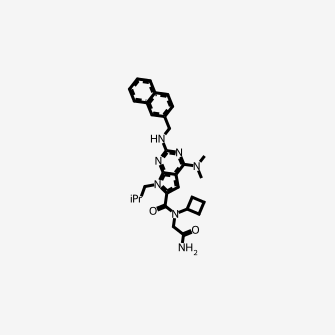 CC(C)Cn1c(C(=O)N(CC(N)=O)C2CCC2)cc2c(N(C)C)nc(NCc3ccc4ccccc4c3)nc21